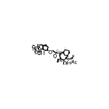 C=C[C@]1(C)C[C@@H](OC(=O)COc2ccc3c(c2)B(O)N(S(C)(=O)=O)N=C3)[C@@]2(C)C[C@](C[C@H](F)C(C)=O)(CC[C@H]2C)[C@@H](C)[C@@H]1O